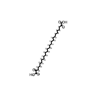 O=C(O)C(=O)CCCCCCCCCCCCCCCCCCCCCCCCC(=O)C(=O)O